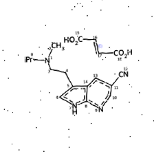 CC(C)N(C)CCc1c[nH]c2ncc(C#N)cc12.O=C(O)/C=C/C(=O)O